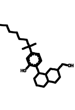 CCCCCCC(C)(C)c1ccc(C2CCCC3CCC(CO)CC32)c(O)c1